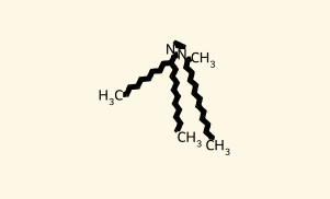 CCCCCCCCCCCCCC(C)n1ccnc1C(CCCCCCCCC)CCCCCCCCCCC